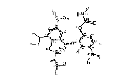 CCC(C)c1cc([N+](=O)[O-])cc([N+](=O)[O-])c1OC(=O)C=C(C)C.CNC(=O)Oc1cc(C)c(N(C)C)c(C)c1